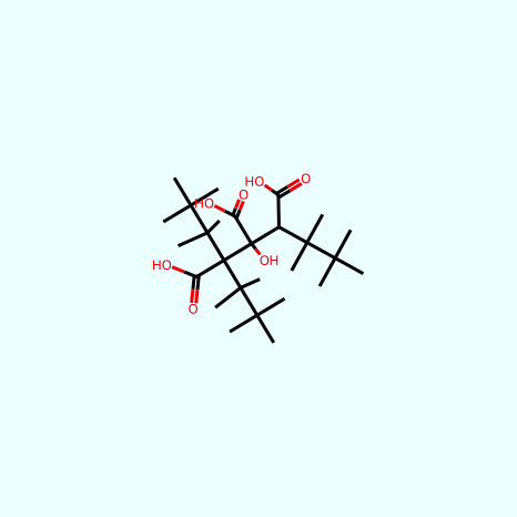 CC(C)(C)C(C)(C)C(C(=O)O)C(O)(C(=O)O)C(C(=O)O)(C(C)(C)C(C)(C)C)C(C)(C)C(C)(C)C